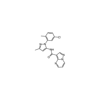 Cc1cc(NC(=O)c2cnn3cccnc23)n(-c2cc(Cl)ccc2C)n1